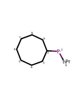 CCC[P]C1CCCCCCC1